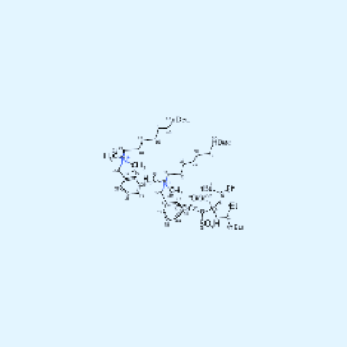 CCCCC(CC)CC(CC(CC)CCCC)(C(=O)[O-])C(C(=O)[O-])S(=O)(=O)O.CCCCCCCCCCCCCCCC[N+](C)(C)Cc1ccccc1.CCCCCCCCCCCCCCCC[N+](C)(C)Cc1ccccc1